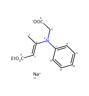 CCOC(=O)C=C(C)N(CC(=O)[O-])c1ccccc1.[Na+]